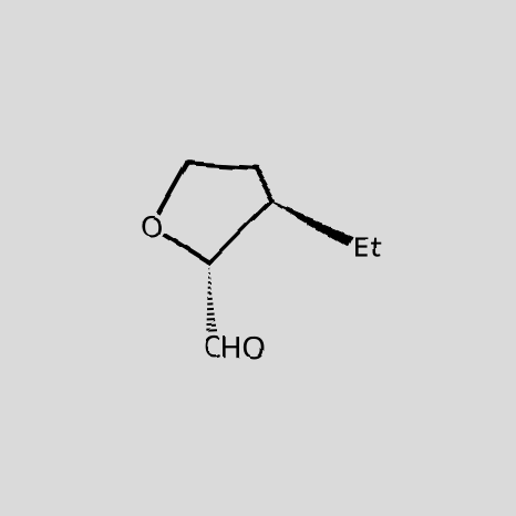 CC[C@@H]1CCO[C@H]1C=O